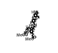 C=Cc1c(Oc2ccc(F)c(-c3ncc(C(C)(CCCC(C)(C)C[S+]([O-])CC(=O)OC)c4cccc(CCC(=O)OC)c4)[nH]3)c2)c(F)cc2[nH]ccc12